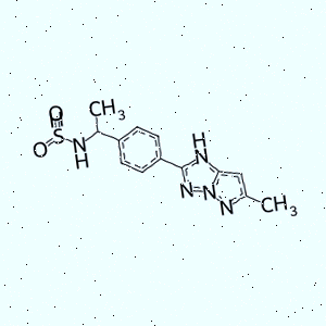 Cc1cc2[nH]c(-c3ccc(C(C)N[SH](=O)=O)cc3)nn2n1